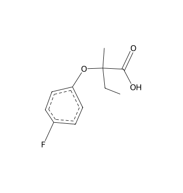 CCC(C)(Oc1ccc(F)cc1)C(=O)O